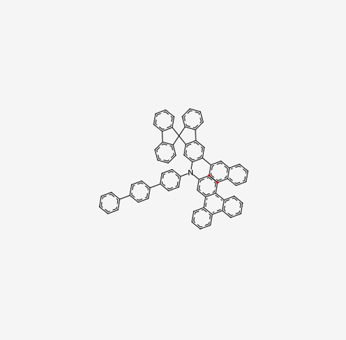 c1ccc(-c2ccc(-c3ccc(N(c4ccc5c6ccccc6c6ccccc6c5c4)c4cc5c(cc4-c4ccc6ccccc6c4)-c4ccccc4C54c5ccccc5-c5ccccc54)cc3)cc2)cc1